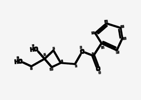 O=C(OCC1CC(O)(CO)C1)c1ccccc1